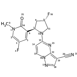 Cn1cc(F)cc([C@H]2C[C@H](F)CN2c2ccn3ncc(C#N)c3n2)c1=O